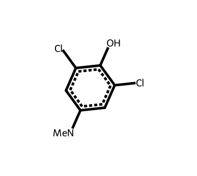 CNc1cc(Cl)c(O)c(Cl)c1